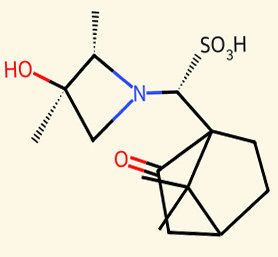 C[C@@H]1N([C@@H](C23CCC(CC2=O)C3(C)C)S(=O)(=O)O)C[C@@]1(C)O